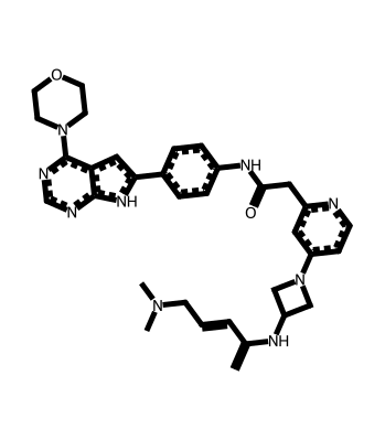 C=C(/C=C/CN(C)C)NC1CN(c2ccnc(CC(=O)Nc3ccc(-c4cc5c(N6CCOCC6)ncnc5[nH]4)cc3)c2)C1